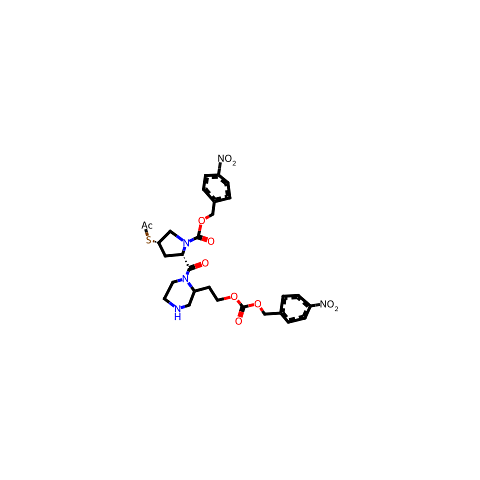 CC(=O)S[C@H]1C[C@@H](C(=O)N2CCNCC2CCOC(=O)OCc2ccc([N+](=O)[O-])cc2)N(C(=O)OCc2ccc([N+](=O)[O-])cc2)C1